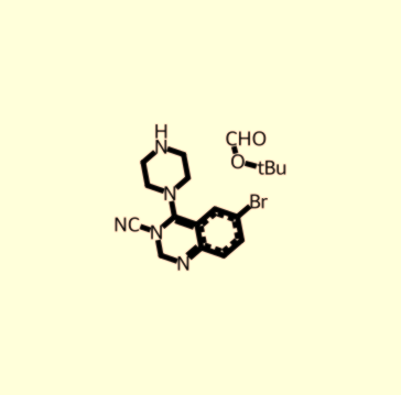 CC(C)(C)OC=O.N#CN1CN=c2ccc(Br)cc2=C1N1CCNCC1